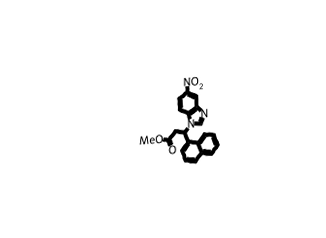 COC(=O)CC(c1cccc2ccccc12)n1cnc2cc([N+](=O)[O-])ccc21